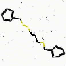 C(=C\SSCc1ccccc1)/CSCc1ccccc1